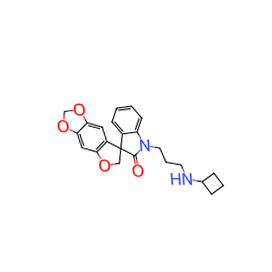 O=C1N(CCCNC2CCC2)c2ccccc2C12COc1cc3c(cc12)OCO3